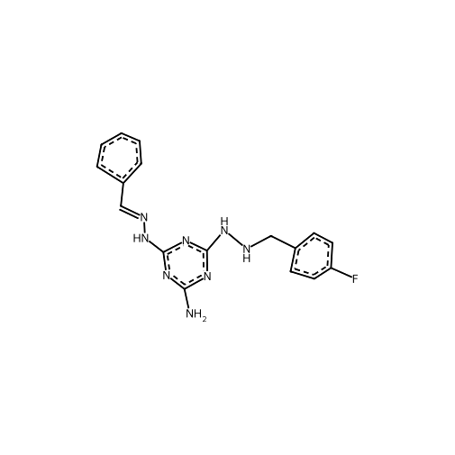 Nc1nc(NN=Cc2ccccc2)nc(NNCc2ccc(F)cc2)n1